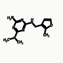 Cc1occc1CNc1nc(N)nc(N(C)C)n1